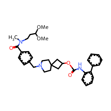 COC(CCN(C)C(=O)c1ccc(CN2CCC3(CC2)CC(OC(=O)Nc2ccccc2-c2ccccc2)C3)cc1)OC